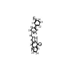 O=c1[nH]c(CCCN2CC=C(c3cccc(F)c3)CC2)cc2ncccc12